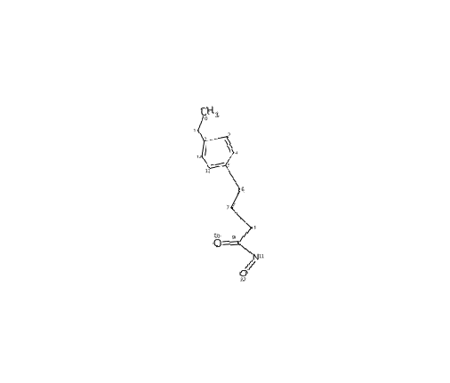 CCc1ccc(CCCC(=O)N=O)cc1